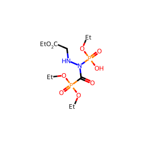 CCOC(=O)CNN(C(=O)P(=O)(OCC)OCC)P(=O)(O)OCC